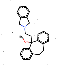 CCOC1(CCN2Cc3ccccc3C2)c2ccccc2CCc2ccccc21